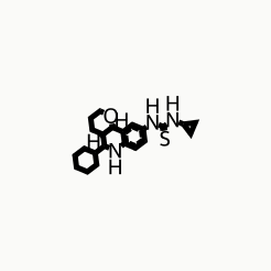 S=C(Nc1ccc2c(c1)[C@H]1OCCC[C@H]1C(C1CCCCC1)N2)NC1CC1